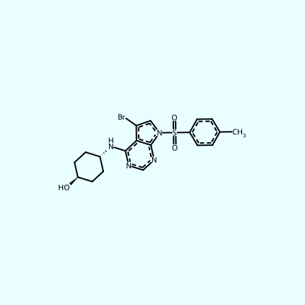 Cc1ccc(S(=O)(=O)n2cc(Br)c3c(N[C@H]4CC[C@H](O)CC4)ncnc32)cc1